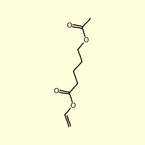 C=COC(=O)CCCCOC(C)=O